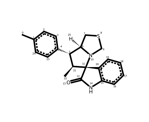 Cc1ccc([C@@H]2[C@H]3CSCN3[C@]3(C(=O)Nc4ccccc43)[C@H]2C)cc1